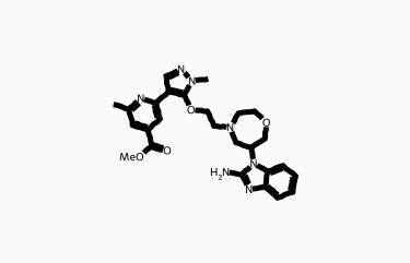 COC(=O)c1cc(C)nc(-c2cnn(C)c2OCCN2CCOCC(n3c(N)nc4ccccc43)C2)c1